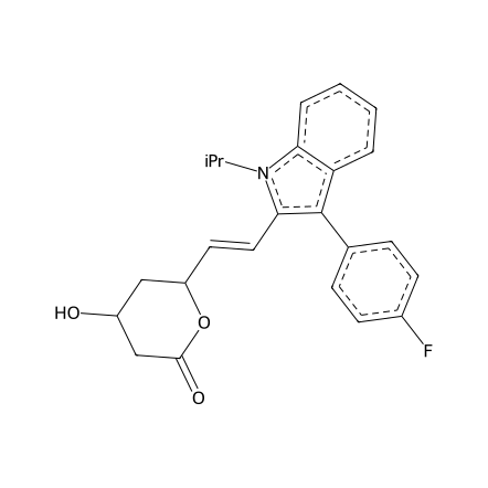 CC(C)n1c(C=CC2CC(O)CC(=O)O2)c(-c2ccc(F)cc2)c2ccccc21